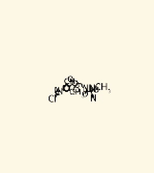 CON=C(C#N)C(=O)NCCC1CC(=O)C(c2c(C)cc(-n3cc(Cl)cn3)cc2C)C1=O